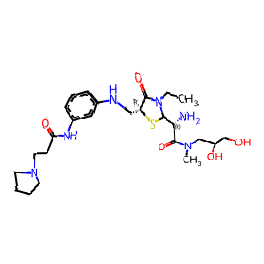 CCN1C(=O)[C@@H](CNc2cccc(NC(=O)CCN3CCCC3)c2)SC1[C@H](N)C(=O)N(C)CC(O)CO